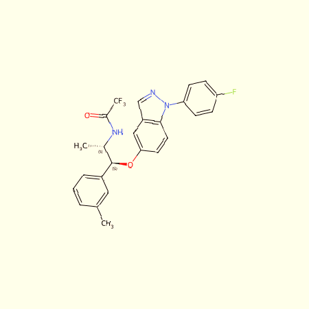 Cc1cccc([C@H](Oc2ccc3c(cnn3-c3ccc(F)cc3)c2)[C@H](C)NC(=O)C(F)(F)F)c1